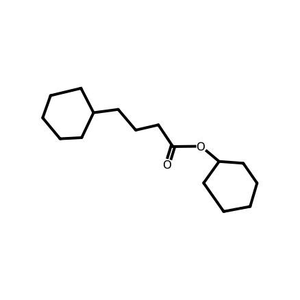 O=C(CCCC1CCCCC1)OC1CCCCC1